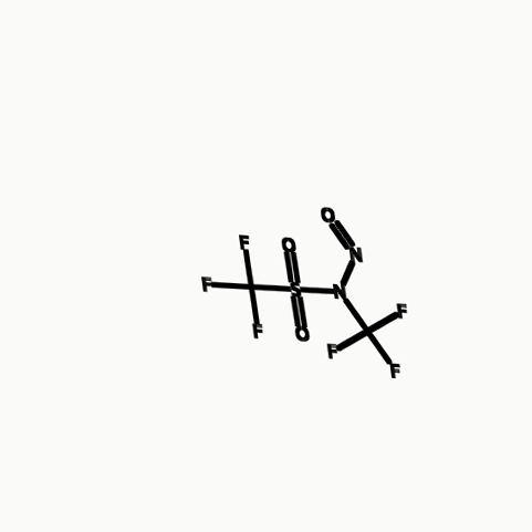 O=NN(C(F)(F)F)S(=O)(=O)C(F)(F)F